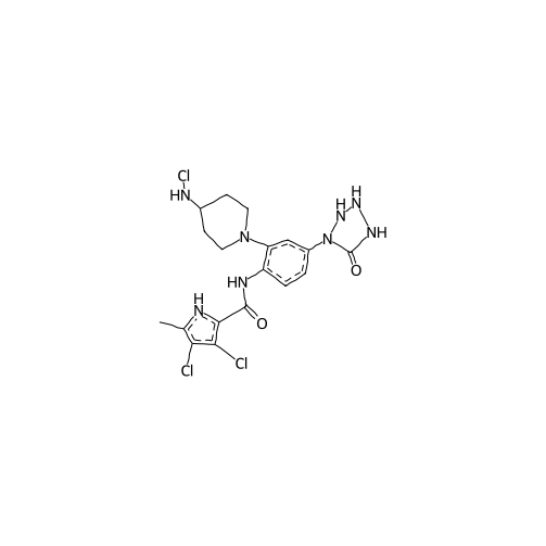 Cc1[nH]c(C(=O)Nc2ccc(N3NNNC3=O)cc2N2CCC(NCl)CC2)c(Cl)c1Cl